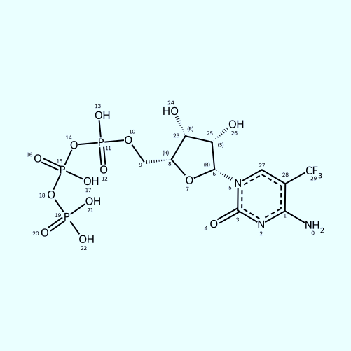 Nc1nc(=O)n([C@@H]2O[C@H](COP(=O)(O)OP(=O)(O)OP(=O)(O)O)[C@H](O)[C@@H]2O)cc1C(F)(F)F